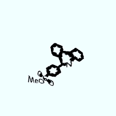 COS(=O)(=O)c1ccc(-c2nc3ccccc3c3ccccc23)cc1